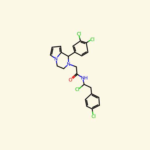 O=C(CN1CCn2cccc2C1c1ccc(Cl)c(Cl)c1)NC(Cl)Cc1ccc(Cl)cc1